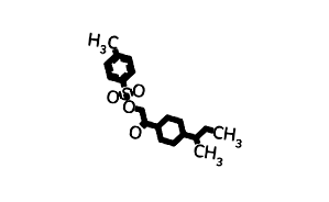 CCC(C)C1CCC(C(=O)COS(=O)(=O)c2ccc(C)cc2)CC1